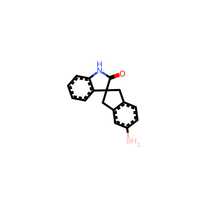 Bc1ccc2c(c1)CC1(C2)C(=O)Nc2ccccc21